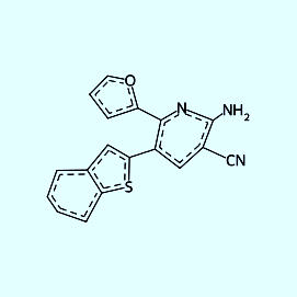 N#Cc1cc(-c2cc3ccccc3s2)c(-c2ccco2)nc1N